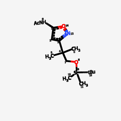 CC(=O)Nc1cc(C(C)(C)CO[Si](C)(C)C(C)(C)C)no1